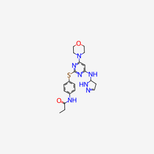 CCC(=O)Nc1ccc(Sc2nc(NC3CC=NN3)cc(N3CCOCC3)n2)cc1